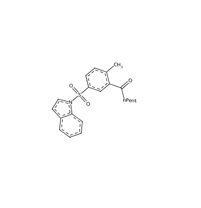 CCCCCC(=O)c1cc(S(=O)(=O)n2ccc3ccccc32)ccc1C